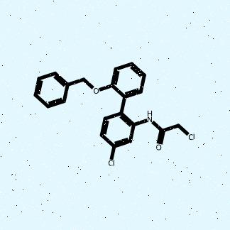 O=C(CCl)Nc1cc(Cl)ccc1-c1ccccc1OCc1ccccc1